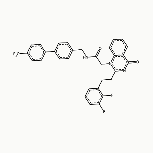 O=C(Cn1c(CCc2cccc(F)c2F)nc(=O)c2ccccc21)NCc1ccc(-c2ccc(C(F)(F)F)cc2)cc1